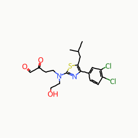 CC(C)Cc1sc(N(CCO)CCC(=O)C=O)nc1-c1ccc(Cl)c(Cl)c1